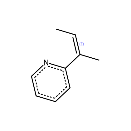 C/C=C(/C)c1ccccn1